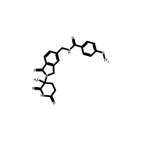 CC1(N2Cc3cc(CNC(=O)c4ccc(OC(F)(F)F)cc4)ccc3C2=O)CCC(=O)NC1=O